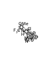 COc1ccc(Nc2ccc(CNC(=O)[C@]3(NC(=O)c4cncnc4)CCOC3)c(Cl)c2)c(C(F)(F)F)c1